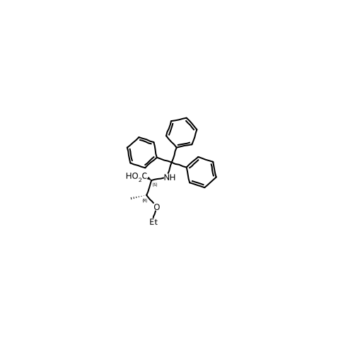 CCO[C@H](C)[C@H](NC(c1ccccc1)(c1ccccc1)c1ccccc1)C(=O)O